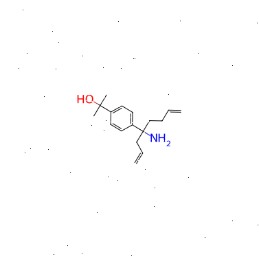 C=CCCC(N)(CC=C)c1ccc(C(C)(C)O)cc1